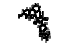 CC(c1ccncc1-c1ccc(F)cc1)C1NC(=O)N(c2ccc(S(=O)(=O)C(F)(F)F)cc2)C1=O